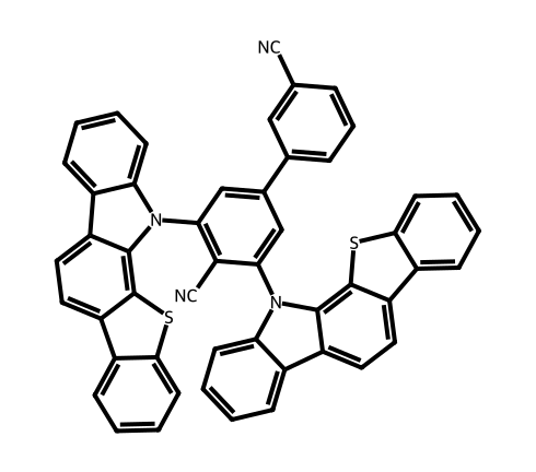 N#Cc1cccc(-c2cc(-n3c4ccccc4c4ccc5c6ccccc6sc5c43)c(C#N)c(-n3c4ccccc4c4ccc5c6ccccc6sc5c43)c2)c1